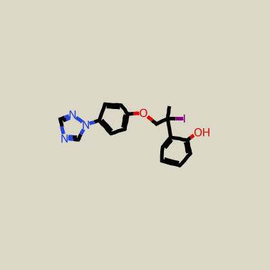 CC(I)(COc1ccc(-n2cncn2)cc1)c1ccccc1O